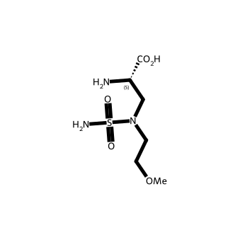 COCCN(C[C@H](N)C(=O)O)S(N)(=O)=O